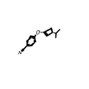 CC(C)[C@H]1C[C@H](Oc2ccc(C#N)cc2)C1